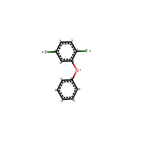 Fc1ccc(F)c(Oc2c[c]ccc2)c1